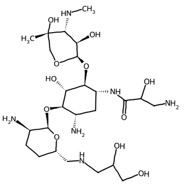 CN[C@@H]1[C@@H](O)[C@@H](O[C@@H]2[C@@H](O)[C@H](O[C@H]3O[C@H](CNCC(O)CO)CC[C@H]3N)[C@@H](N)C[C@H]2NC(=O)C(O)CN)OC[C@]1(C)O